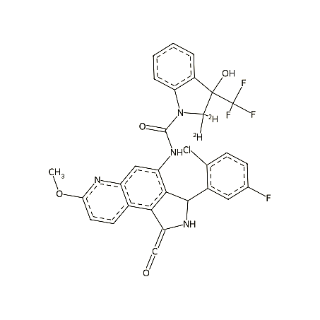 [2H]C1([2H])N(C(=O)Nc2cc3nc(OC)ccc3c3c2C(c2cc(F)ccc2Cl)NC3=C=O)c2ccccc2C1(O)C(F)(F)F